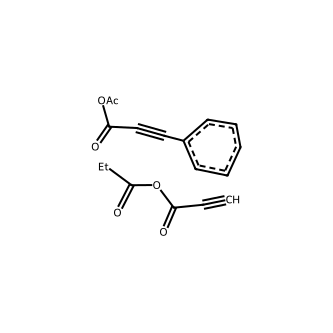 C#CC(=O)OC(=O)CC.CC(=O)OC(=O)C#Cc1ccccc1